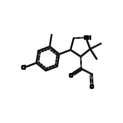 Cc1cc(Cl)ccc1C1CNC(C)(C)C1C(=O)C=O